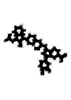 C=C(C)Cn1c(=O)n(C2CCN(CC(O)Cn3nc(-c4ccc(Cl)c(C)c4)c4c3CCN(C(C)=O)C4)CC2)c2ccccc21